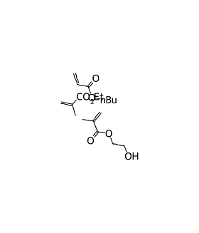 C=C(C)C(=O)OCC.C=C(C)C(=O)OCCO.C=CC(=O)OCCCC